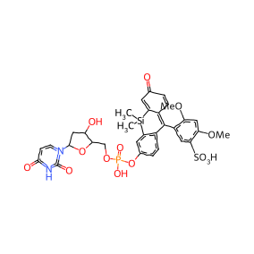 COc1cc(OC)c(S(=O)(=O)O)cc1C1=C2C=CC(=O)C=C2[Si](C)(C)c2cc(OP(=O)(O)OCC3OC(n4ccc(=O)[nH]c4=O)CC3O)ccc21